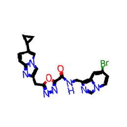 O=C(NCc1ncn2ccc(Br)cc12)c1nnc(Cc2cn3cc(C4CC4)ccc3n2)o1